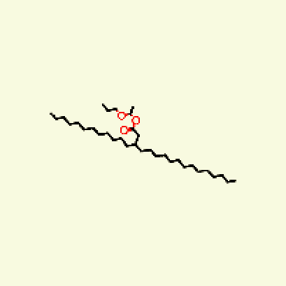 CCCCCCCCCCCCCCC(CCCCCCCCCCCC)CC(=O)OC(C)OCCC